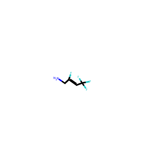 NCC(F)=CC(F)(F)F